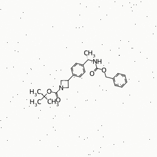 C[C@H](NC(=O)OCc1ccccc1)c1ccc(C2CN(C(=O)OC(C)(C)C)C2)cc1